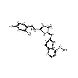 CC(C)Oc1ccnc2ccc(/C=C3\SC(NCc4ccc(F)cc4Cl)=NC3=O)nc12